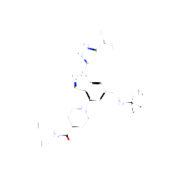 CN(C)C(=O)C1CCN(c2cc([S+]([O-])NC3(C#N)CC3)cc3c2cnn3-c2nnc(C(F)F)s2)CC1